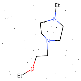 CCOCCN1CCN(CC)CC1